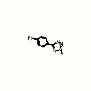 CCc1ccc(-c2nnn(C)n2)cc1